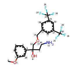 COc1cccc(C(O)(CCN)COCc2cc(C(F)(F)F)cc(C(F)(F)F)c2)c1